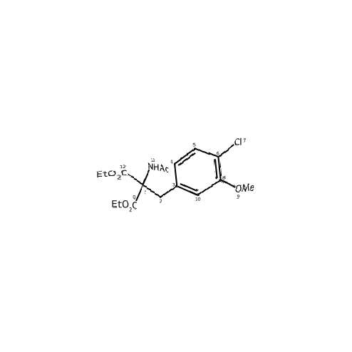 CCOC(=O)C(Cc1ccc(Cl)c(OC)c1)(NC(C)=O)C(=O)OCC